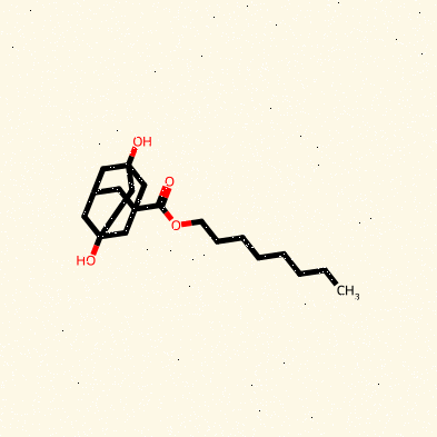 CCCCCCCCOC(=O)C12CC3CC(O)(CC(O)(C3)C1)C2